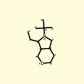 CCC1C2COCCC2CN1C(C)(C)C